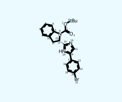 CC(C)(C)OC(=O)N1c2ccccc2C[C@H]1c1ncc(-c2ccc(Br)cc2)[nH]1